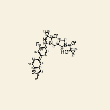 Cc1cc2cc(-c3ccc(C4=NC5(CC5)C(=O)N4CC4CCN(C(=O)C5(O)CC5)C4)c(F)c3)ccc2s1